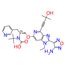 CCn1c(-c2nonc2N)nc2c(C#CC(C)(C)O)nc(OC[C@H](Cc3cccnc3)N(C(=O)O)C(C)(C)C)cc21